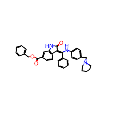 O=C1Nc2cc(C(=O)OCc3ccccc3)ccc2/C1=C(/Nc1ccc(CN2CCCCC2)cc1)c1ccccc1